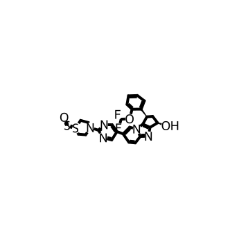 O=S=S1CCN(c2ncc(-c3ccc4nc5c(n4c3)[C@@H](c3ccccc3OC(F)F)C[C@H]5O)cn2)CC1